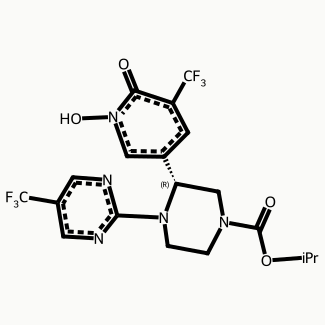 CC(C)OC(=O)N1CCN(c2ncc(C(F)(F)F)cn2)[C@H](c2cc(C(F)(F)F)c(=O)n(O)c2)C1